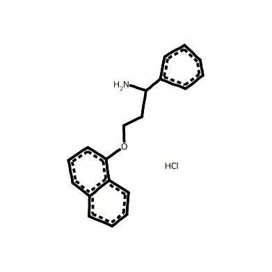 Cl.NC(CCOc1cccc2ccccc12)c1ccccc1